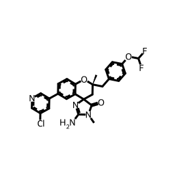 CN1C(=O)C2(C[C@@](C)(Cc3ccc(OC(F)F)cc3)Oc3ccc(-c4cncc(Cl)c4)cc32)N=C1N